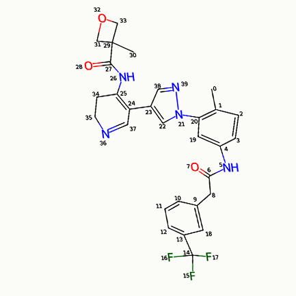 Cc1ccc(NC(=O)Cc2cccc(C(F)(F)F)c2)cc1-n1cc(C2=C(NC(=O)C3(C)COC3)CCN=C2)cn1